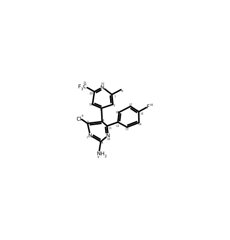 Cc1cc(-c2c(Cl)nc(N)nc2-c2ccc(F)cc2)cc(C(F)(F)F)n1